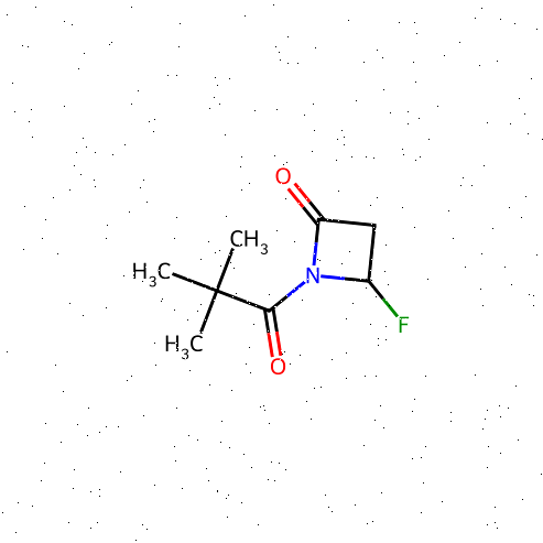 CC(C)(C)C(=O)N1C(=O)CC1F